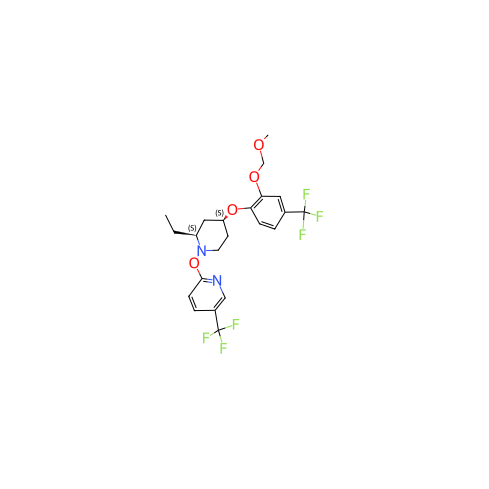 CC[C@H]1C[C@@H](Oc2ccc(C(F)(F)F)cc2OCOC)CCN1Oc1ccc(C(F)(F)F)cn1